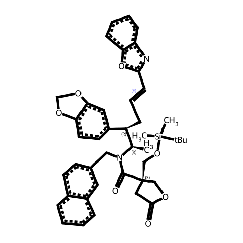 C[C@H]([C@H](C/C=C/c1nc2ccccc2o1)c1ccc2c(c1)OCO2)N(Cc1ccc2ccccc2c1)C(=O)[C@]1(CO[Si](C)(C)C(C)(C)C)COC(=O)C1